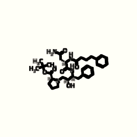 CC(C)(C)OC(=O)[C@@H]1CCCN1C[C@@H](O)[C@H](Cc1ccccc1)NC(=O)[C@H](CC(N)=O)NC(=O)CCCc1ccccc1